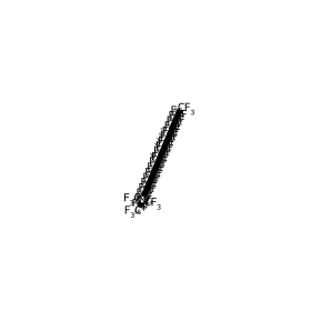 FC(F)(F)C(F)(F)C(F)(F)C(F)(F)C(F)(F)C(F)(F)C(F)(F)C(F)(F)C(F)(F)C(F)(F)C(F)(F)C(F)(F)C(F)(F)C(F)(F)C(F)(F)C(F)(F)C(F)(F)C(F)(F)[N+](C(F)(F)F)(C(F)(F)F)C(F)(F)C(F)(F)F